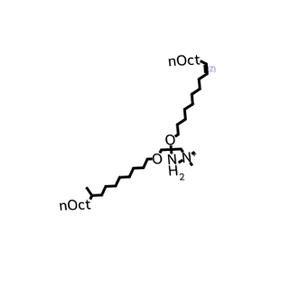 CCCCCCCC/C=C\CCCCCCCCOC(N)(COCCCCCCCCC(C)CCCCCCCC)C[N+](C)(C)C